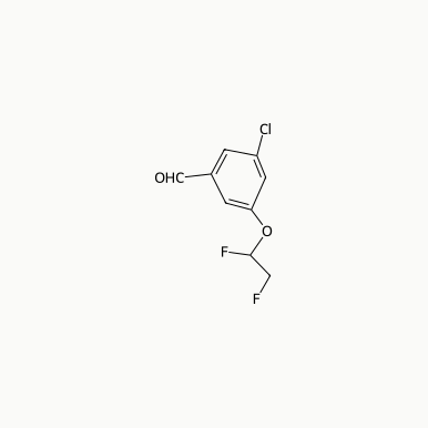 O=Cc1cc(Cl)cc(OC(F)CF)c1